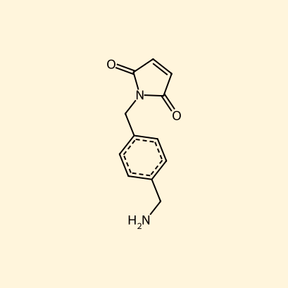 NCc1ccc(CN2C(=O)C=CC2=O)cc1